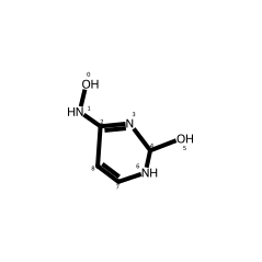 ONC1=NC(O)NC=C1